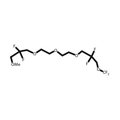 COCC(F)(F)COCCOCCOCC(F)(F)COC(F)(F)F